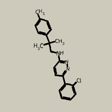 Cc1ccc(C(C)(C)CNc2ccc(-c3ccccc3Cl)nn2)cc1